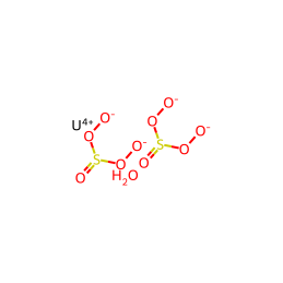 O.O=S(O[O-])O[O-].O=S(O[O-])O[O-].[U+4]